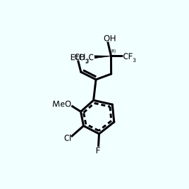 CC=C(C[C@@](O)(C(=O)OCC)C(F)(F)F)c1ccc(F)c(Cl)c1OC